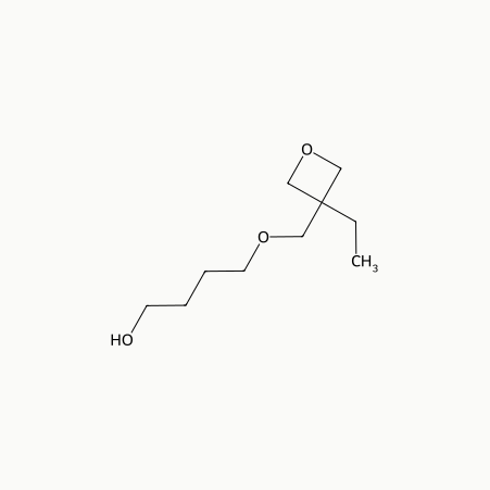 CCC1(COCCCCO)COC1